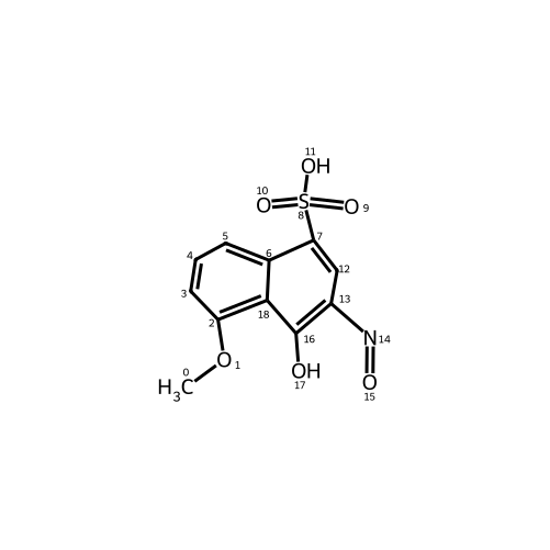 COc1cccc2c(S(=O)(=O)O)cc(N=O)c(O)c12